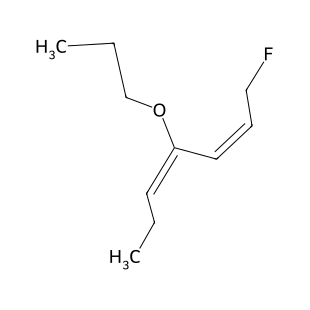 CC/C=C(\C=C/CF)OCCC